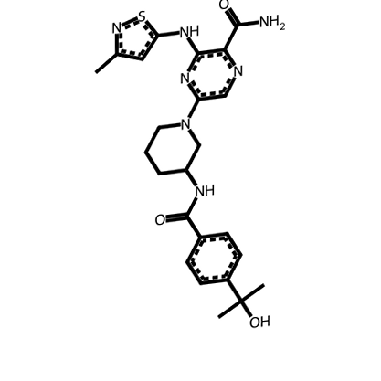 Cc1cc(Nc2nc(N3CCCC(NC(=O)c4ccc(C(C)(C)O)cc4)C3)cnc2C(N)=O)sn1